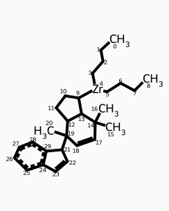 CCC[CH2][Zr]([CH2]CCC)[CH]1CCC2C1C(C)(C)C=CC2(C)C1C=Cc2ccccc21